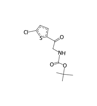 CC(C)(C)OC(=O)NCC(=O)c1ccc(Cl)s1